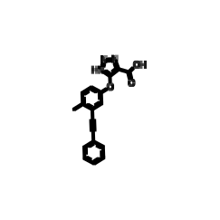 Cc1ccc(Oc2[nH]nnc2C(=O)O)cc1C#Cc1ccccc1